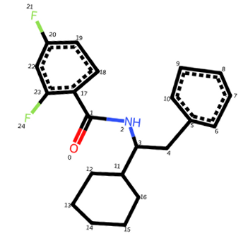 O=C(NC(Cc1ccccc1)C1CCCCC1)c1ccc(F)cc1F